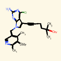 COc1c(C)ncc(Cn2cc(C#CCCC(C)(C)O)c3c(Cl)nc(N)nc32)c1C